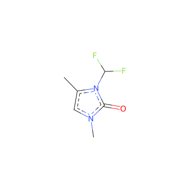 Cc1cn(C)c(=O)n1C(F)F